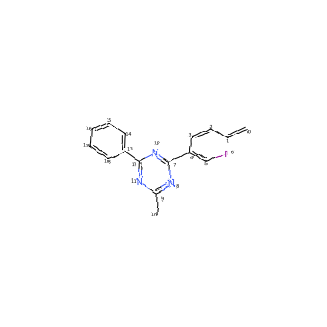 C=C/C=C\C(=C/I)c1nc(C)nc(-c2ccccc2)n1